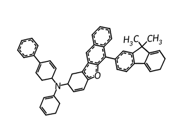 CC1(C)C2=CCCC=C2c2ccc(-c3c4ccccc4cc4c5c(oc34)C=CC(N(C3=CC=CCC3)C3C=CC(c4ccccc4)=CC3)C5)cc21